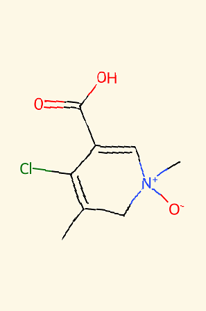 CC1=C(Cl)C(C(=O)O)=C[N+](C)([O-])C1